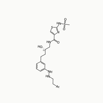 CC(=O)CCNNc1cccc(CC[C@H](O)CNC(=O)c2csc(NS(C)(=O)=O)n2)c1